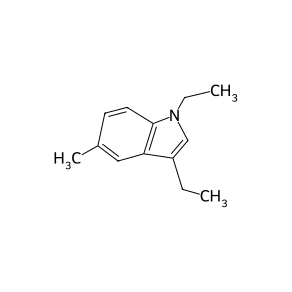 CCc1cn(CC)c2ccc(C)cc12